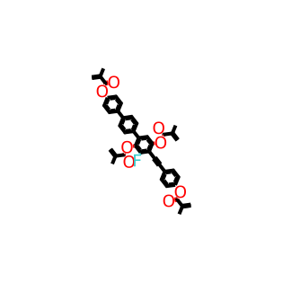 C=C(C)C(=O)Oc1ccc(C#Cc2c(OC(=O)C(=C)C)cc(-c3ccc(-c4ccc(OC(=O)C(=C)C)cc4)cc3)c(OC(=O)C(=C)C)c2F)cc1